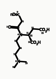 CCCCCCCCCCCC(=O)N(CCCN(C)C)[C@@H](CC(=O)O)C(=O)O